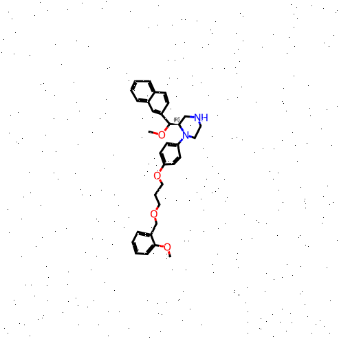 COc1ccccc1COCCCOc1ccc(N2CCNC[C@@H]2C(OC)c2ccc3ccccc3c2)cc1